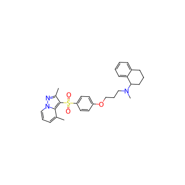 Cc1nn2cccc(C)c2c1S(=O)(=O)c1ccc(OCCCN(C)C2CCCc3ccccc32)cc1